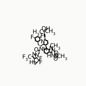 Cn1nc(NS(C)(=O)=O)c2cccc(-c3ccc(C#CC(C)(C)O)nc3[C@H](Cc3cc(F)cc(F)c3)NC(=O)Cn3nc(C(F)(F)F)c4c3C(F)(F)C3C[C@H]43)c21